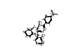 CN(C)c1ccc(C(=O)N[C@@H](Cc2ccccc2)C(=O)Nc2cncnc2Cl)cc1